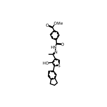 COC(=O)c1ccc(C(=O)N/N=C(\C)c2csc(-c3ccc4c(c3)CCC4)c2O)cc1